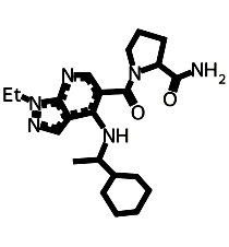 CCn1ncc2c(NC(C)C3CCCCC3)c(C(=O)N3CCCC3C(N)=O)cnc21